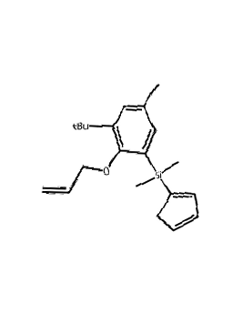 C=CCOc1c(C(C)(C)C)cc(C)cc1[Si](C)(C)C1=CC=CC1